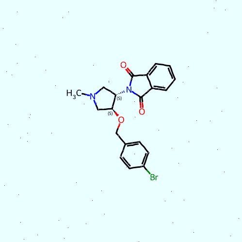 CN1C[C@H](OCc2ccc(Br)cc2)[C@@H](N2C(=O)c3ccccc3C2=O)C1